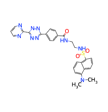 CN(C)c1cccc2c(S(=O)(=O)NCCNC(=O)c3ccc(-c4nnc(-c5ncccn5)nn4)cc3)cccc12